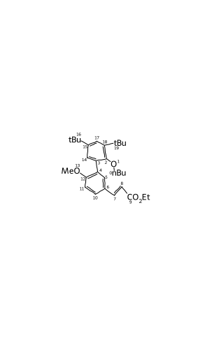 CCCCOc1c(-c2cc(C=CC(=O)OCC)ccc2OC)cc(C(C)(C)C)cc1C(C)(C)C